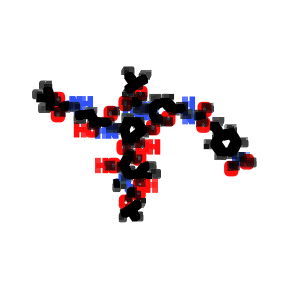 CN(C(=O)OC(C)(C)C)[C@@H]1[C@@H](O)[C@@H](O[C@@H]2[C@@H](O)[C@H](O[C@H]3OC(CNC(=O)OCc4ccc([N+](=O)[O-])cc4)=CC[C@H]3N)[C@@H](NC(=O)OC(C)(C)C)C[C@H]2NC(=O)[C@@H](O)CCNC(=O)OC(C)(C)C)OC[C@]1(C)O